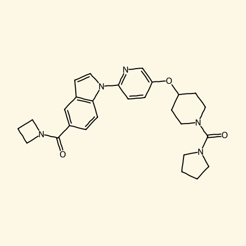 O=C(c1ccc2c(ccn2-c2ccc(OC3CCN(C(=O)N4CCCC4)CC3)cn2)c1)N1CCC1